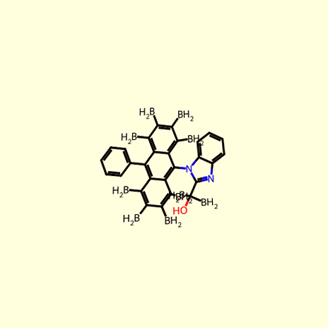 Bc1c(B)c(B)c2c(-n3c(C(B)(B)O)nc4ccccc43)c3c(B)c(B)c(B)c(B)c3c(-c3ccccc3)c2c1B